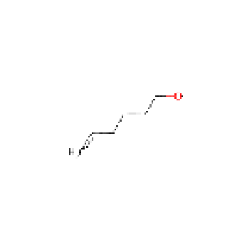 C=CCC[CH]C[O]